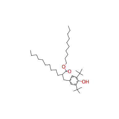 CCCCCCCCCCOC(=O)C(CCCCCCCCCC)Cc1cc(C(C)(C)C)c(O)c(C(C)(C)C)c1